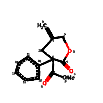 C=C1COC(=O)C(C(=O)OC)(c2ccccc2)C1